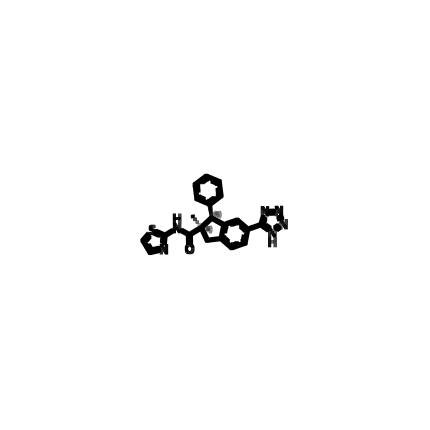 C[C@@]1(C(=O)Nc2nccs2)Cc2ccc(-c3nnn[nH]3)cc2[C@@H]1c1ccccc1